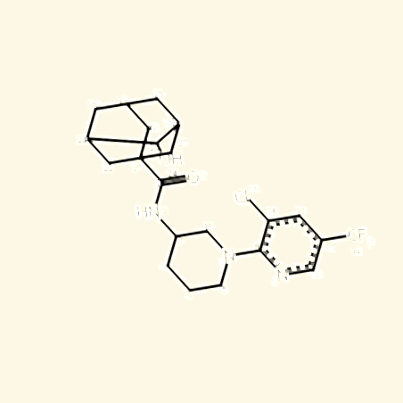 O=C(NC1CCCN(c2ncc(C(F)(F)F)cc2Cl)C1)C12CC3CC(C1)C(O)C(C3)C2